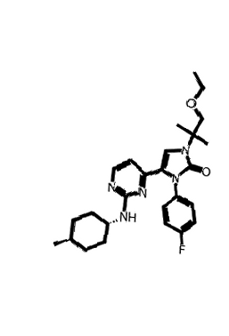 CCOCC(C)(C)n1cc(-c2ccnc(N[C@H]3CC[C@H](C)CC3)n2)n(-c2ccc(F)cc2)c1=O